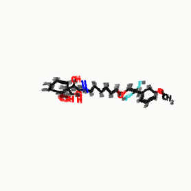 COc1cccc(C(F)(F)COCCCCCCNCC(O)C2(CO)C=CC=CC2O)c1